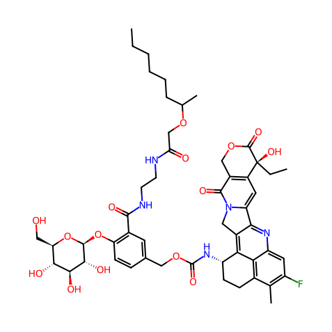 CCCCCCC(C)OCC(=O)NCCNC(=O)c1cc(COC(=O)N[C@H]2CCc3c(C)c(F)cc4nc5c(c2c34)Cn2c-5cc3c(c2=O)COC(=O)[C@]3(O)CC)ccc1O[C@@H]1O[C@H](CO)[C@@H](O)[C@H](O)[C@H]1O